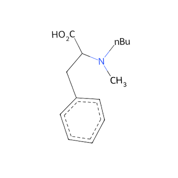 CCCCN(C)C(Cc1ccccc1)C(=O)O